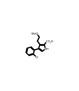 COCCc1c(-c2ccccc2Cl)c[nH]c1C(=O)O